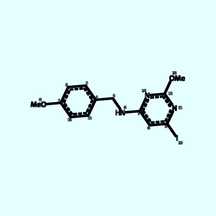 COc1ccc(CNc2cc(I)nc(OC)n2)cc1